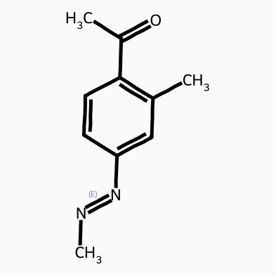 C/N=N/c1ccc(C(C)=O)c(C)c1